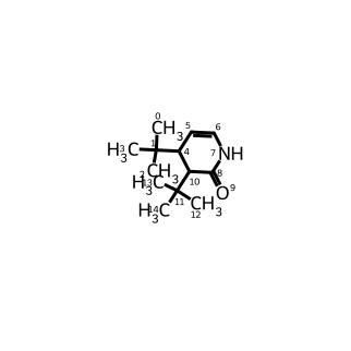 CC(C)(C)C1C=CNC(=O)C1C(C)(C)C